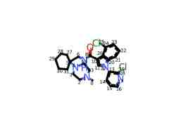 CN1CCN(C2(CNC(=O)c3cn(-c4cccnc4Cl)c4cccc(Cl)c34)CCCCC2)CC1